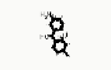 Cc1ccc(C(O)c2cccc(N)c2)c(Cl)c1